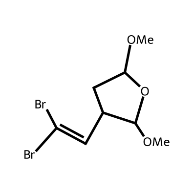 COC1CC(C=C(Br)Br)C(OC)O1